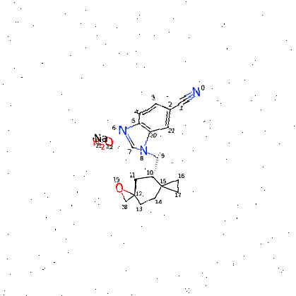 N#Cc1ccc2ncn(C[C@H]3C[C@@]4(CCC35CC5)CO4)c2c1.O.[Na]